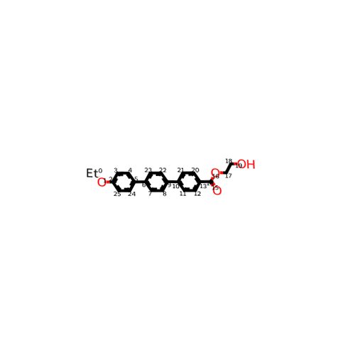 CCOc1ccc(-c2ccc(-c3ccc(C(=O)OCCO)cc3)cc2)cc1